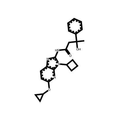 CC(O)(CC(=O)Nc1nc2ccc(OC3CC3)nc2n1C1CCC1)c1ccccc1